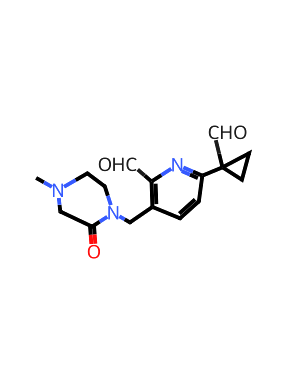 CN1CCN(Cc2ccc(C3(C=O)CC3)nc2C=O)C(=O)C1